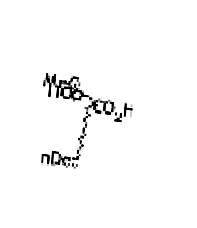 CCCCCCCCCCCCCCCCCCCCC(Cc1ccc(O)c(OC)c1)C(=O)O